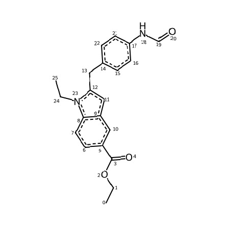 CCOC(=O)c1ccc2c(c1)cc(Cc1ccc(NC=O)cc1)n2CC